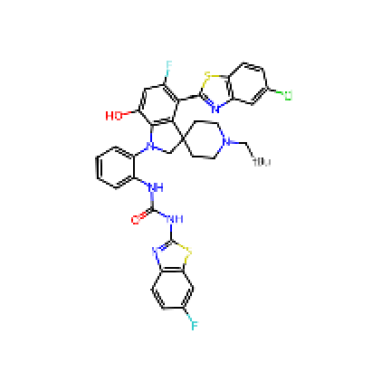 CC(C)(C)CN1CCC2(CC1)CN(c1ccccc1NC(=O)Nc1nc3ccc(F)cc3s1)c1c(O)cc(F)c(-c3nc4cc(Cl)ccc4s3)c12